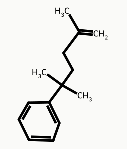 C=C(C)CCC(C)(C)c1ccccc1